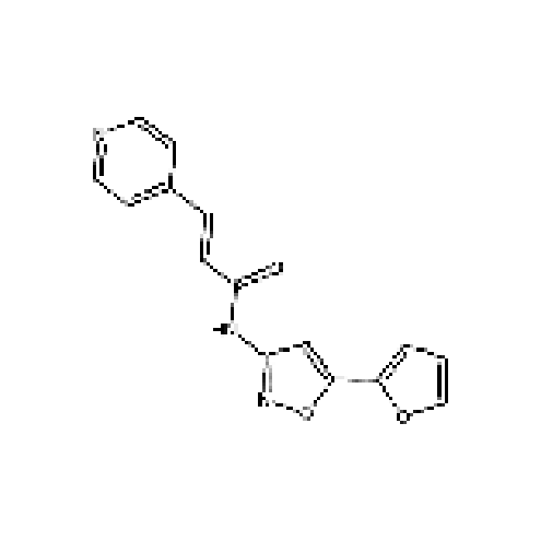 O=C(C=Cc1ccncc1)Nc1cc(-c2ccco2)on1